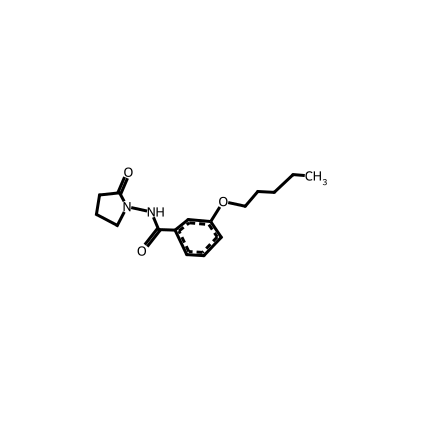 CCCCCOc1cccc(C(=O)NN2CCCC2=O)c1